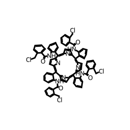 O=C(Nc1ccccc1C1=C2C=CC(=N2)C(c2ccccc2NC(=O)c2ccccc2CCl)=C2C=CC(=N2)C(c2ccccc2NC(=O)c2ccccc2CCl)=C2C=CC(=N2)C(c2ccccc2NC(=O)c2ccccc2CCl)=C2C=CC1=N2)c1ccccc1CCl